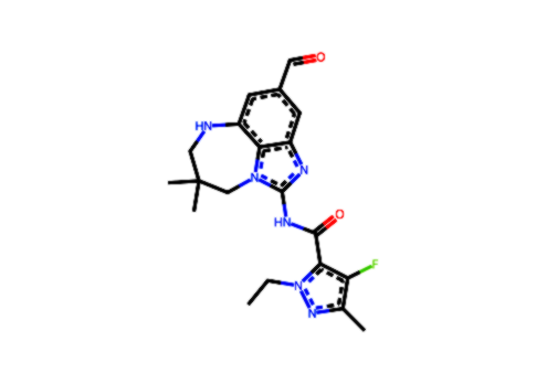 CCn1nc(C)c(F)c1C(=O)Nc1nc2cc(C=O)cc3c2n1CC(C)(C)CN3